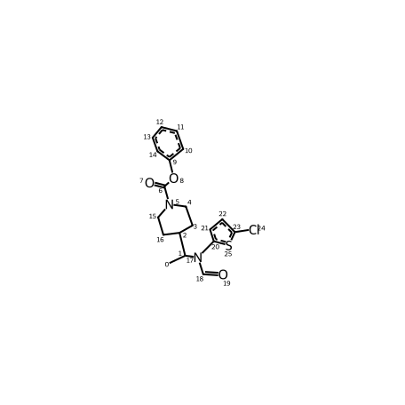 CC(C1CCN(C(=O)Oc2ccccc2)CC1)N(C=O)c1ccc(Cl)s1